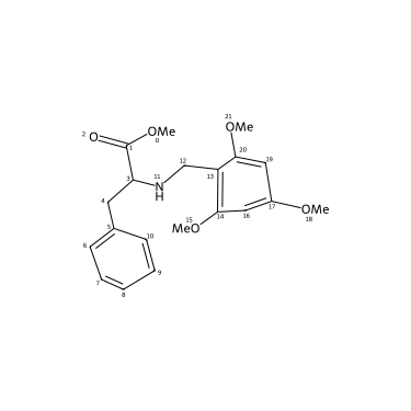 COC(=O)C(Cc1ccccc1)NCc1c(OC)cc(OC)cc1OC